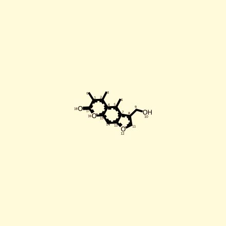 Cc1c(C)c2c(C)c3c(CO)coc3cc2oc1=O